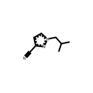 CC(C)Cn1ccc(C#N)n1